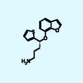 NCCC[C@@H](Oc1cccc2ccoc12)c1cccs1